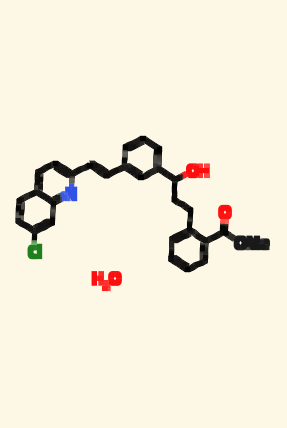 COC(=O)c1ccccc1CCC(O)c1cccc(C=Cc2ccc3ccc(Cl)cc3n2)c1.O